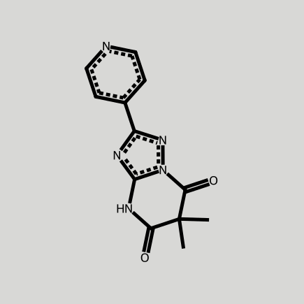 CC1(C)C(=O)Nc2nc(-c3ccncc3)nn2C1=O